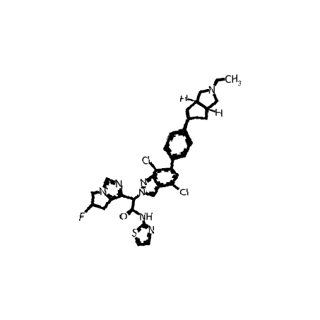 CCN1C[C@H]2CC(c3ccc(-c4cc(Cl)c5cn(C(C(=O)Nc6nccs6)c6ncn7c6CC(F)C7)nc5c4Cl)cc3)C[C@H]2C1